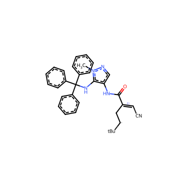 Cn1ncc(NC(=O)/C(=C/C#N)C[CH]C(C)(C)C)c1NC(c1ccccc1)(c1ccccc1)c1ccccc1